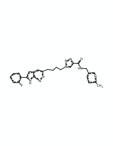 Cc1ccc(CNC(=O)c2cn(CCCCc3cc4cc(-c5ccccc5F)[nH]c4nn3)nn2)cn1